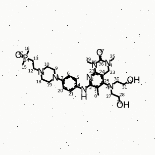 Cc1c(Nc2ccc(N3CCN(CCP(C)(C)=O)CC3)cc2)nc2c(c1N(CCO)CCO)CN(C)C(=O)N2C